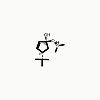 C[SiH](C)O[C@@]1(O)C=C[C@@H](C(C)(C)C)C1